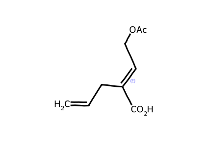 C=CC/C(=C\COC(C)=O)C(=O)O